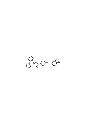 O=C(COc1ccccc1-c1ccncc1)N1CCC(CCc2ccc3c(c2)OCO3)CC1